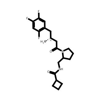 N[C@@H](CC(=O)N1CCCC1CNC(=O)C1CCC1)Cc1cc(F)c(F)cc1F